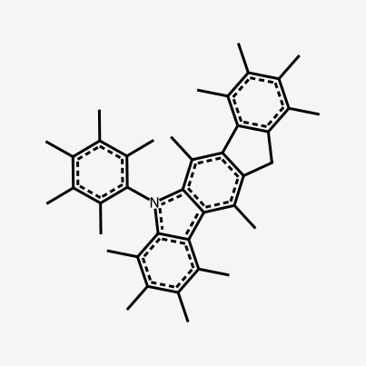 Cc1c(C)c(C)c(-n2c3c(C)c(C)c(C)c(C)c3c3c(C)c4c(c(C)c32)-c2c(C)c(C)c(C)c(C)c2C4)c(C)c1C